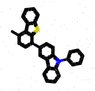 Cc1ccc(-c2ccc3c(c2)c2ccccc2n3-c2ccccc2)c2sc3ccccc3c12